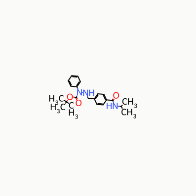 CC(C)NC(=O)c1ccc(CNN(C(=O)OC(C)(C)C)c2ccccc2)cc1